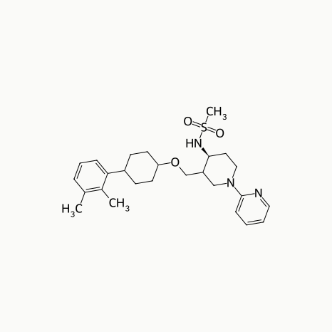 Cc1cccc(C2CCC(OCC3CN(c4ccccn4)CC[C@@H]3NS(C)(=O)=O)CC2)c1C